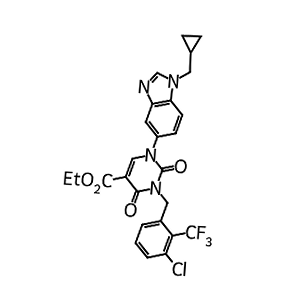 CCOC(=O)c1cn(-c2ccc3c(c2)ncn3CC2CC2)c(=O)n(Cc2cccc(Cl)c2C(F)(F)F)c1=O